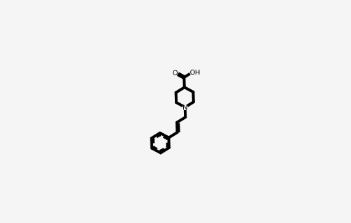 O=C(O)C1CCN(CC=Cc2ccccc2)CC1